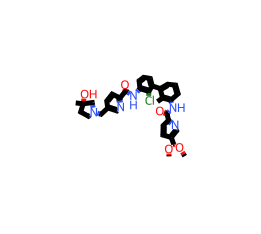 COC(OC)c1ccc(C(=O)Nc2cccc(-c3cccc(NC(=O)c4ccc(CN5CCC(C)(O)C5)cn4)c3Cl)c2C)nc1